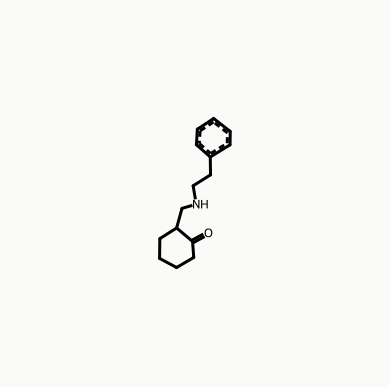 O=C1CCCCC1CNCCc1ccccc1